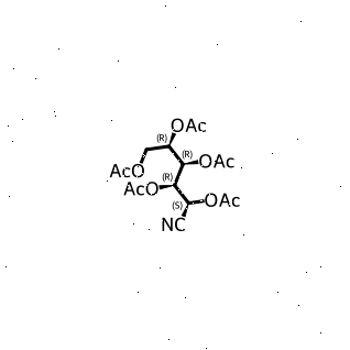 CC(=O)OC[C@@H](OC(C)=O)[C@@H](OC(C)=O)[C@H](OC(C)=O)[C@H](C#N)OC(C)=O